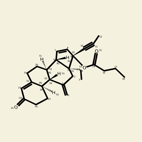 C=C1C[C@@]2(CC)[C@@H](C=C[C@]2(C#CC)OC(=O)CCC)[C@@H]2CCC3=CC(=O)CC[C@@H]3[C@@H]12